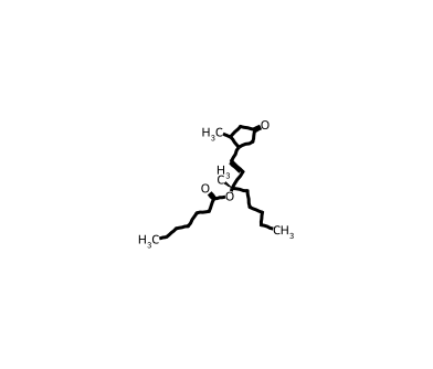 CCCCCCC(=O)O[C@](C)(C=CC1CC(=O)CC1C)CCCCC